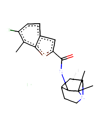 Cc1c(Cl)ccc2cc(C(=O)N[C@@H]3C4CCN(CC4)C3(C)C)sc12.Cl